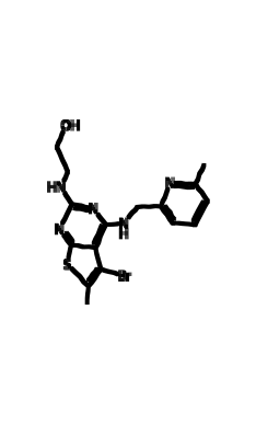 Cc1cccc(CNc2nc(NCCO)nc3sc(C)c(Br)c23)n1